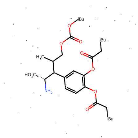 CCC(C)CC(=O)Oc1ccc(C(C(C)COC(=O)OC(C)CC)[C@H](N)C(=O)O)cc1OC(=O)CC(C)CC